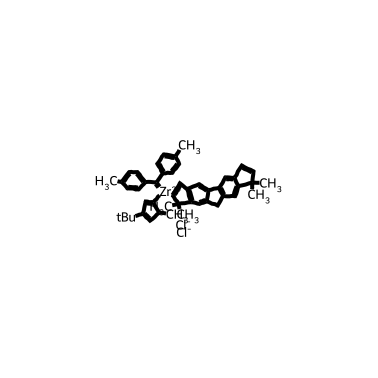 Cc1ccc([C](c2ccc(C)cc2)=[Zr+2]([C]2=CC(C(C)(C)C)=CC2C)[C]2=Cc3cc4c(cc3C2(C)C)Cc2cc3c(cc2-4)C=CC3(C)C)cc1.[Cl-].[Cl-]